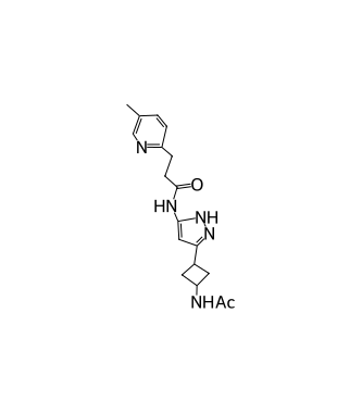 CC(=O)NC1CC(c2cc(NC(=O)CCc3ccc(C)cn3)[nH]n2)C1